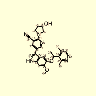 COc1cc2[nH]nc(-c3cnc(N4CC[C@H](O)C4)c(C#N)c3)c2cc1OC(C)c1c(C)cnnc1C